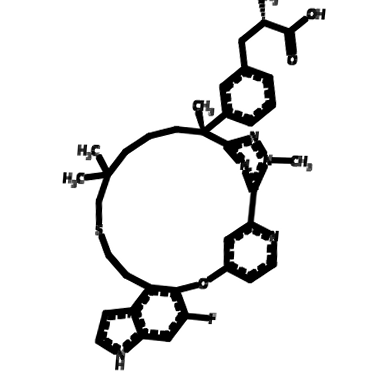 C[C@@H](Cc1cccc([C@@]2(C)CCCC(C)(C)CSCCc3c(c(F)cc4[nH]ccc34)Oc3ccnc(c3)-c3nc2nn3C)c1)C(=O)O